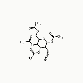 CC(=O)OCC1O[C@H](OC(C)=O)C(N=[N+]=[N-])[C@H](OC(C)=O)C1OC(C)=O